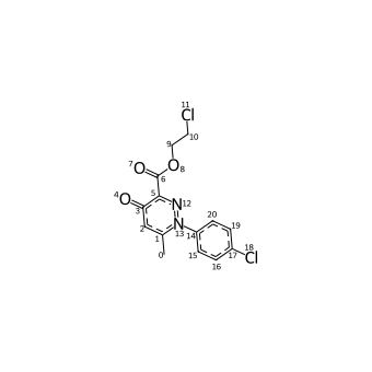 Cc1cc(=O)c(C(=O)OCCCl)nn1-c1ccc(Cl)cc1